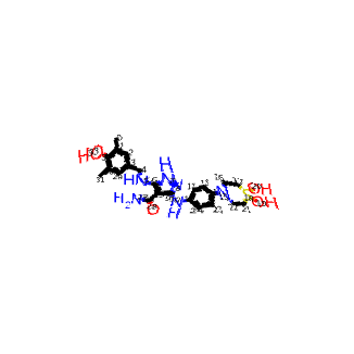 Cc1cc(CNc2[nH]nc(Nc3ccc(N4CCS(O)(O)CC4)cc3)c2C(N)=O)cc(C)c1O